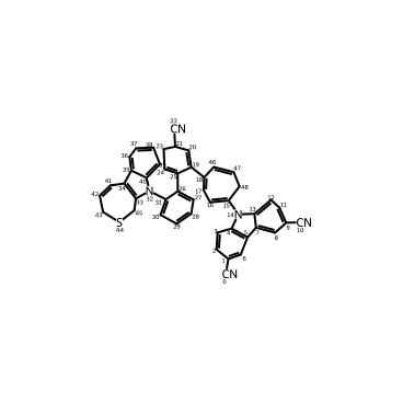 N#Cc1ccc2c(c1)c1cc(C#N)ccc1n2C1=CC=C(C2=CC(C#N)CC=C2c2ccccc2-n2c3c(c4ccccc42)C=CCSC3)C=CC1